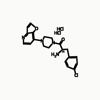 Cl.Cl.N[C@H](Cc1ccc(Cl)cc1)C(=O)N1CCN(c2ccnc3ccoc23)CC1